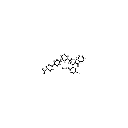 COc1ccc(F)cc1C(NC(=O)c1cccc(-c2ccc(N3CCC(N(C)C)CC3)cc2)c1)c1cc2ccccc2[nH]1